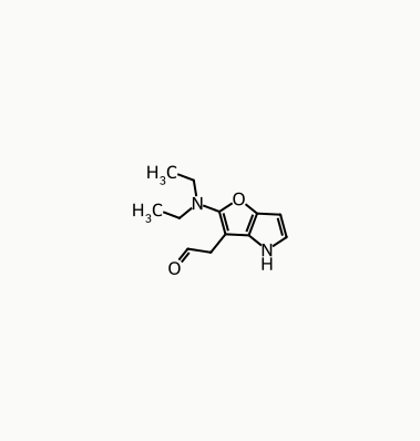 CCN(CC)c1oc2cc[nH]c2c1CC=O